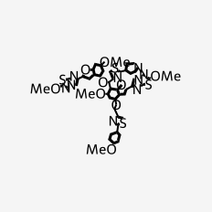 COc1ccc(-c2nc(COc3cc(OC)c(C(Oc4cc(OC)cc5oc(-c6cn7nc(OC)sc7n6)cc45)c4csc(-c5ccncc5)n4)c4oc(-c5cn6nc(OC)sc6n5)cc34)cs2)cc1